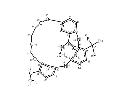 CNC(=O)c1cc2ccc1Nc1nc(ncc1C(F)(F)F)Nc1ccc(OC)c(c1)OCCCCCO2